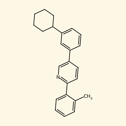 Cc1ccccc1-c1ccc(-c2cccc(C3CCCCC3)c2)cn1